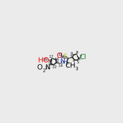 CC1C(c2ccc(Cl)cc2)SC(=O)N1Cc1ccc(O)c([N+](=O)[O-])c1